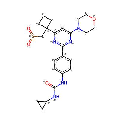 O=C(Nc1ccc(-c2nc(N3CCOCC3)cc(C3(C[SH](=O)=O)CCC3)n2)cc1)NC1CC1